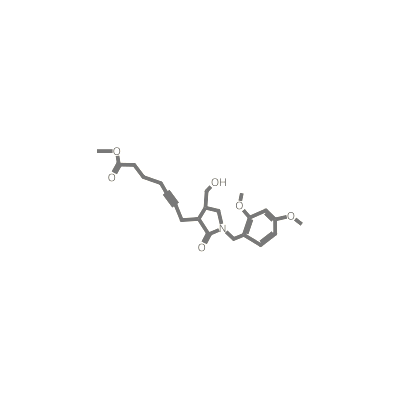 COC(=O)CCCC#CCC1C(=O)N(Cc2ccc(OC)cc2OC)CC1CO